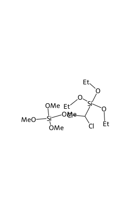 CCO[Si](OCC)(OCC)C(Cl)Cl.CO[Si](OC)(OC)OC